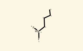 CCCC[SiH](F)F